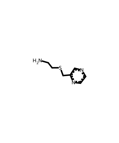 NCCSCc1cnccn1